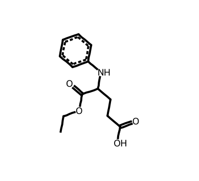 CCOC(=O)C(CCC(=O)O)Nc1ccccc1